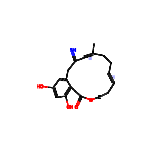 C/C1=C\C(=N)Cc2cc(O)cc(O)c2C(=O)OCC/C=C/CC1